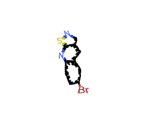 Brc1ccc2nc3sncc3cc2c1